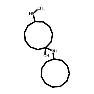 CBC1CCCCCC(O)(BC2CCCCCCCCCC2)CCCC1